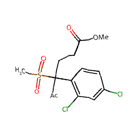 COC(=O)CCC(C(C)=O)(c1ccc(Cl)cc1Cl)S(C)(=O)=O